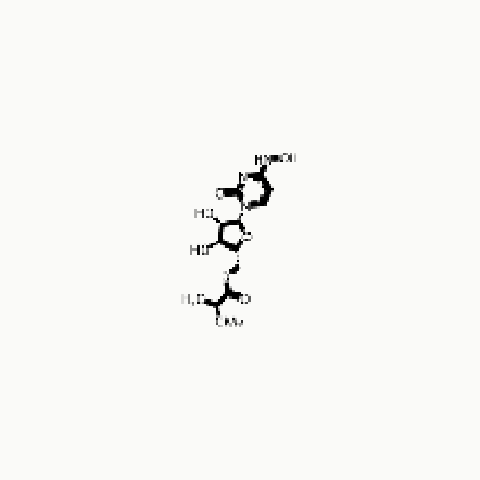 CO[C@@H](C)C(=O)OC[C@H]1O[C@@H](n2ccc(NO)nc2=O)[C@H](O)[C@@H]1O